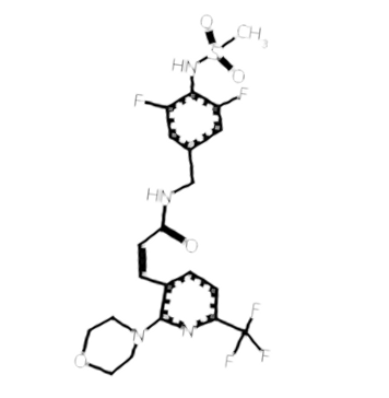 CS(=O)(=O)Nc1c(F)cc(CNC(=O)/C=C\c2ccc(C(F)(F)F)nc2N2CCOCC2)cc1F